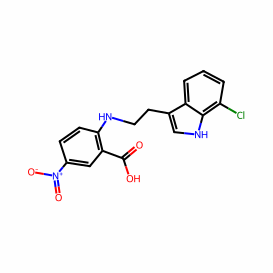 O=C(O)c1cc([N+](=O)[O-])ccc1NCCc1c[nH]c2c(Cl)cccc12